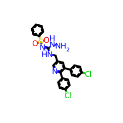 NN/C(=N\S(=O)(=O)c1ccccc1)NCc1cnc(-c2ccc(Cl)cc2)c(-c2ccc(Cl)cc2)c1